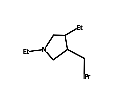 CCC1CN(CC)CC1CC(C)C